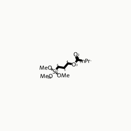 CC[CH]C(=O)OCCC[Si](OC)(OC)OC